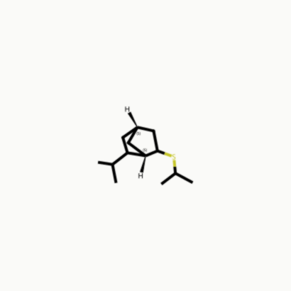 CC(C)SC1C[C@H]2CC(C(C)C)[C@@H]1C2